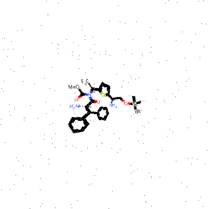 COC(=O)N(C(=O)[C@@H](N)C(c1ccccc1)c1ccccc1)[C@H](c1ccc([C@H](N)CO[Si](C)(C)C(C)(C)C)s1)C(F)(F)F